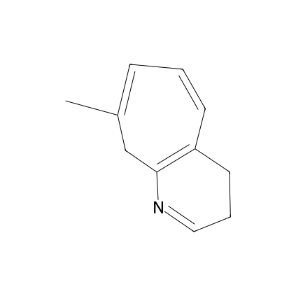 CC1=CC=CC2=C(C1)N=CCC2